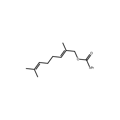 CCCC(=O)OCC(C)=CCCC=C(C)C